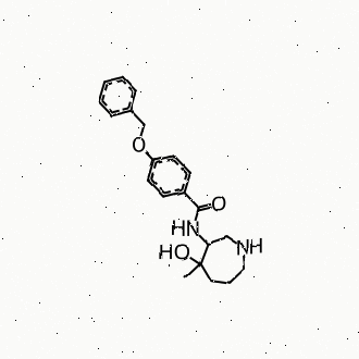 CC1(O)CCCNCC1NC(=O)c1ccc(OCc2ccccc2)cc1